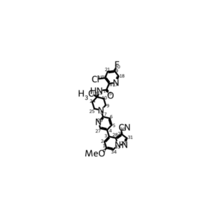 COc1cc(-c2ccc(N3CCC(C)(NC(=O)c4ncc(F)cc4Cl)CC3)nc2)c2c(C#N)cnn2c1